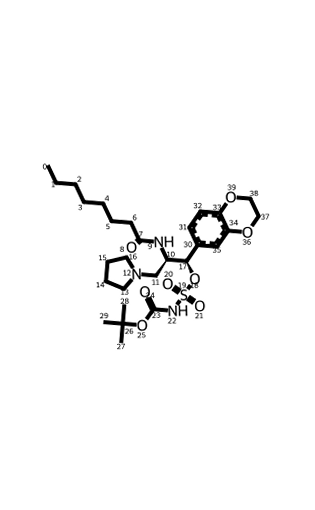 CCCCCCCC(=O)N[C@H](CN1CCCC1)[C@H](OS(=O)(=O)NC(=O)OC(C)(C)C)c1ccc2c(c1)OCCO2